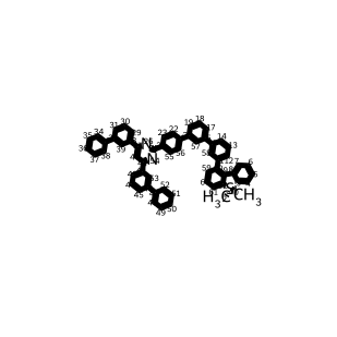 C[Si]1(C)c2ccccc2-c2c(-c3cccc(-c4cccc(-c5ccc(-c6nc(-c7cccc(-c8ccccc8)c7)cc(-c7cccc(-c8ccccc8)c7)n6)cc5)c4)c3)cccc21